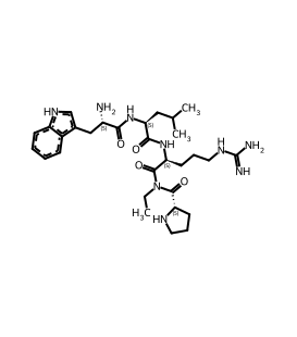 CCN(C(=O)[C@@H]1CCCN1)C(=O)[C@H](CCCNC(=N)N)NC(=O)[C@H](CC(C)C)NC(=O)[C@@H](N)Cc1c[nH]c2ccccc12